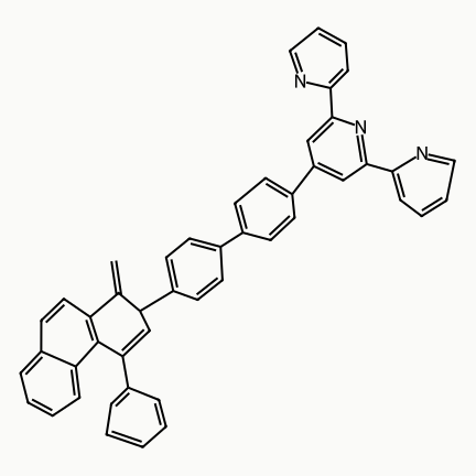 C=C1c2ccc3ccccc3c2C(c2ccccc2)=CC1c1ccc(-c2ccc(-c3cc(-c4ccccn4)nc(-c4ccccn4)c3)cc2)cc1